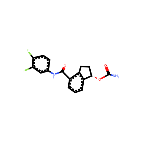 NC(=O)O[C@H]1CCc2c(C(=O)Nc3ccc(F)c(F)c3)cccc21